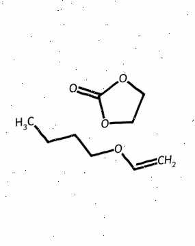 C=COCCCC.O=C1OCCO1